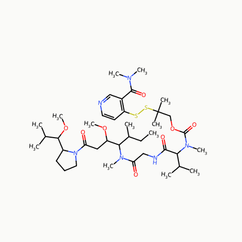 CCC(C)C(C(CC(=O)N1CCCC1C(OC)C(C)C)OC)N(C)C(=O)CNC(=O)C(C(C)C)N(C)C(=O)OCC(C)(C)SSc1ccncc1C(=O)N(C)C